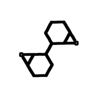 C1CC2OC2C(C2CCCC3OC32)C1